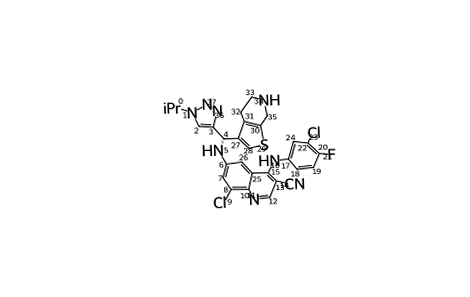 CC(C)n1cc([C@@H](Nc2cc(Cl)c3ncc(C#N)c(Nc4ccc(F)c(Cl)c4)c3c2)c2csc3c2CCNC3)nn1